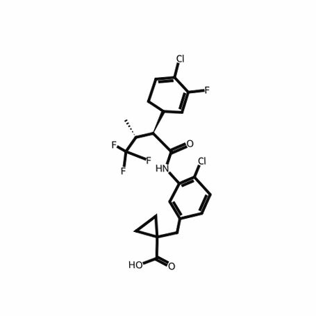 C[C@H]([C@H](C(=O)Nc1cc(CC2(C(=O)O)CC2)ccc1Cl)C1C=C(F)C(Cl)=CC1)C(F)(F)F